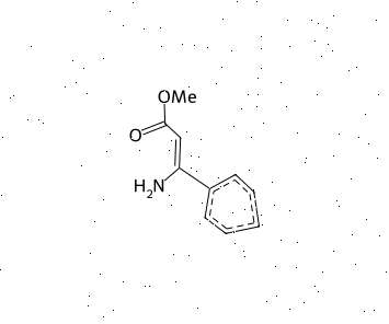 COC(=O)C=C(N)c1ccccc1